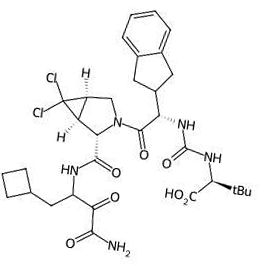 CC(C)(C)[C@H](NC(=O)N[C@H](C(=O)N1C[C@H]2[C@@H]([C@H]1C(=O)NC(CC1CCC1)C(=O)C(N)=O)C2(Cl)Cl)C1Cc2ccccc2C1)C(=O)O